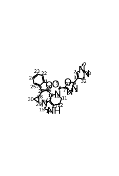 Cn1cc(-c2nnc(C(=O)N3CCc4[nH]cnc4[C@H]3c3oc4ccccc4c3C3CC3)o2)cn1